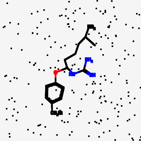 CCOC(=O)c1ccc(OC(CCCC(C)[N+](=O)[O-])NC(=N)N)cc1